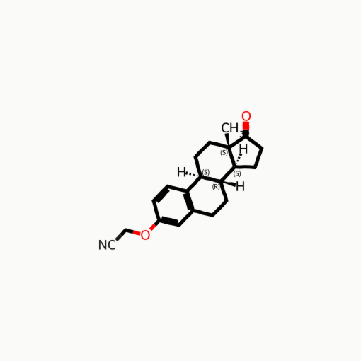 C[C@]12CC[C@@H]3c4ccc(OCC#N)cc4CC[C@H]3[C@@H]1CCC2=O